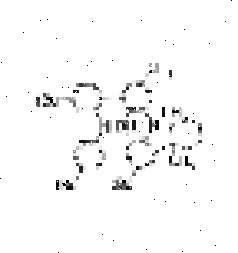 Cc1cc(-c2ccc(C(C)(C)C)cc2Nc2ccc(C(C)(C)C)cc2)c2c(c1)N1c3c(cc(C(C)(C)C)cc3C3(C)CCCCC13C)B2